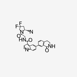 N#C[C@@H]1CC(F)(F)CN1C(=O)CNC(=O)c1ccnc2ccc(-c3ccc4c(c3)C(=O)NCC4)cc12